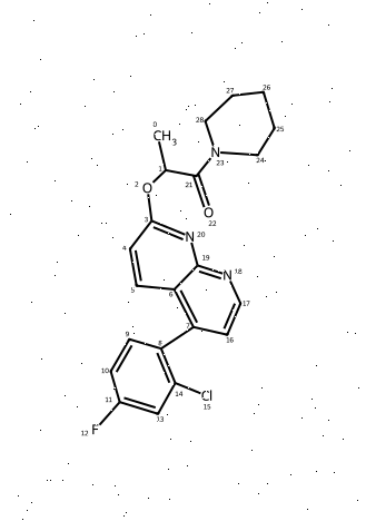 CC(Oc1ccc2c(-c3ccc(F)cc3Cl)ccnc2n1)C(=O)N1CCCCC1